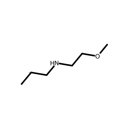 C[CH]CNCCOC